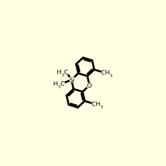 Cc1cccc2c1Oc1c(C)cccc1[Si]2(C)C